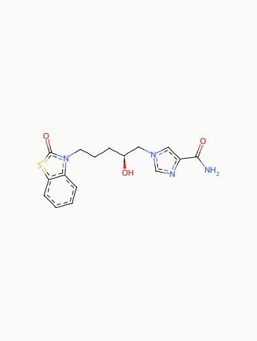 NC(=O)c1cn(C[C@@H](O)CCCn2c(=O)sc3ccccc32)cn1